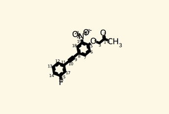 CC(=O)COc1ccc(C#Cc2cccc(F)c2)cc1[N+](=O)[O-]